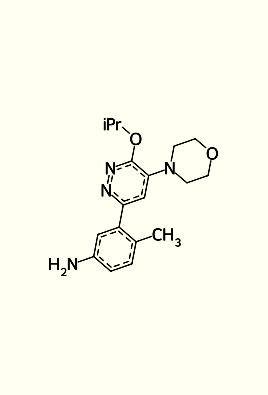 Cc1ccc(N)cc1-c1cc(N2CCOCC2)c(OC(C)C)nn1